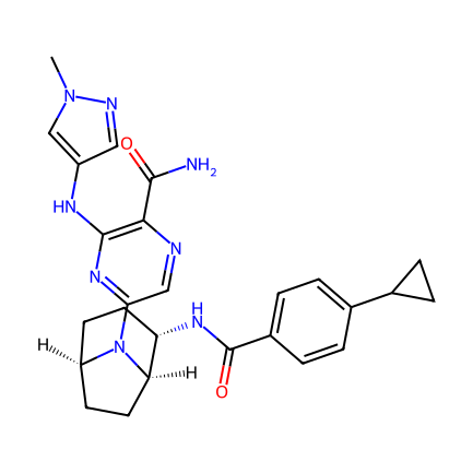 Cn1cc(Nc2nc(N3[C@@H]4CC[C@H](NC(=O)c5ccc(C6CC6)cc5)[C@H]3CC4)cnc2C(N)=O)cn1